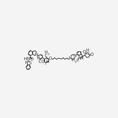 Cc1c(OCCCCCCCCCN2CCN(c3cccc4c(C5CCC(=O)NC5=O)nn(C)c34)CC2)cccc1-c1ccc(N2CCc3cccc(C(=O)Nc4nc5ccccc5s4)c3C2)nc1C(=O)O